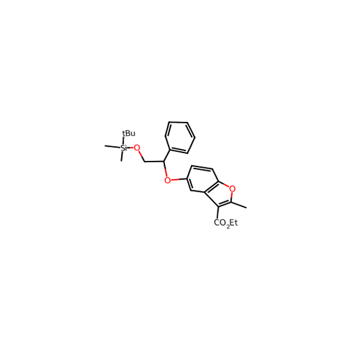 CCOC(=O)c1c(C)oc2ccc(OC(CO[Si](C)(C)C(C)(C)C)c3ccccc3)cc12